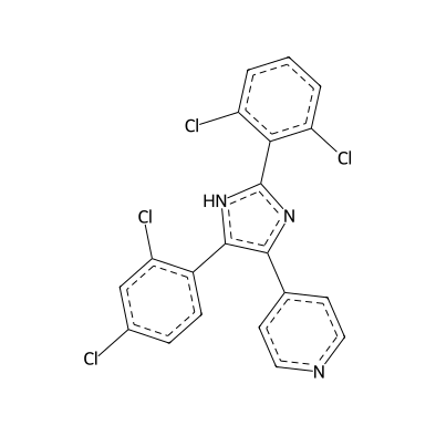 Clc1ccc(-c2[nH]c(-c3c(Cl)cccc3Cl)nc2-c2ccncc2)c(Cl)c1